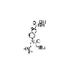 CC(C)NCCN(C(=O)CC(C)(C)C)c1ccc2sc(C(=O)NO)cc2c1